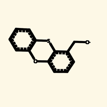 [O]Cc1cccc2c1Sc1ccccc1O2